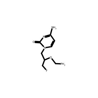 Nc1ccn(CC(CF)OCP)c(=O)n1